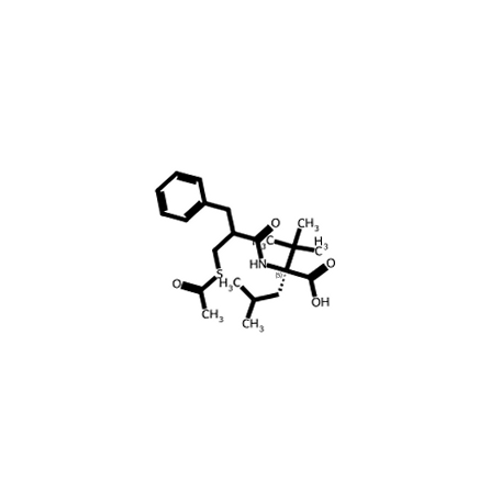 CC(=O)SCC(Cc1ccccc1)C(=O)N[C@](CC(C)C)(C(=O)O)C(C)(C)C